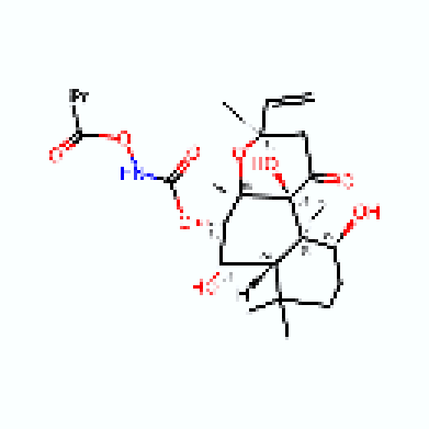 C=C[C@@]1(C)CC(=O)[C@]2(O)[C@@]3(C)[C@@H](O)CCC(C)(C)[C@@H]3[C@H](O)[C@H](OC(=O)NOC(=O)C(C)C)[C@@]2(C)O1